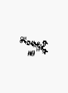 Cc1cc(-c2nc(NC(=O)c3cnc(N4CCN(CCC(=O)O)CC4)cn3)sc2CN2CCC[C@H]2C)sc1C.Cl.Cl.Cl